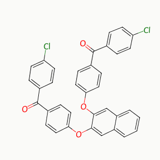 O=C(c1ccc(Cl)cc1)c1ccc(Oc2cc3ccccc3cc2Oc2ccc(C(=O)c3ccc(Cl)cc3)cc2)cc1